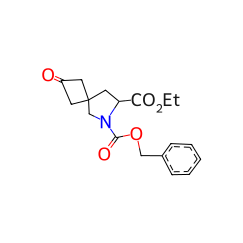 CCOC(=O)C1CC2(CC(=O)C2)CN1C(=O)OCc1ccccc1